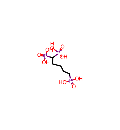 O=P(O)(O)CCCCC(P(=O)(O)O)P(=O)(O)O